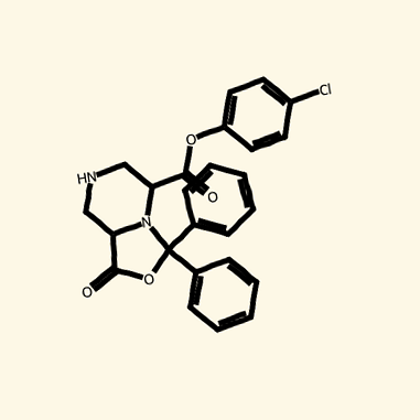 O=C(Oc1ccc(Cl)cc1)C1CNCC2C(=O)OC(c3ccccc3)(c3ccccc3)N12